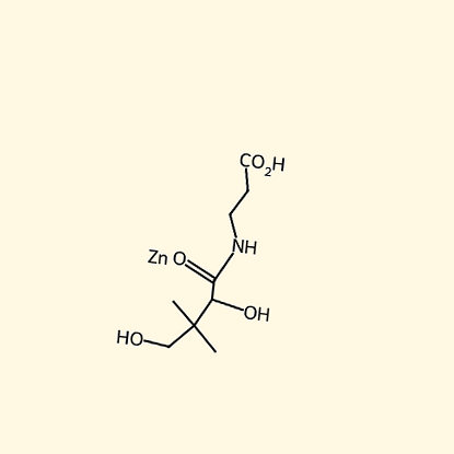 CC(C)(CO)C(O)C(=O)NCCC(=O)O.[Zn]